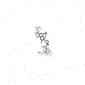 CCOC(=O)c1cn(C2CC2)c2c(F)c(N3CCC4(CC4NC(=O)OC(C)(C)C)C3)c(F)cc2c1=O